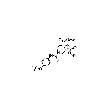 COC(=O)C1(NC(=O)OC(C)(C)C)CCN(C(=O)Nc2ccc(OC(F)(F)F)cc2)CC1